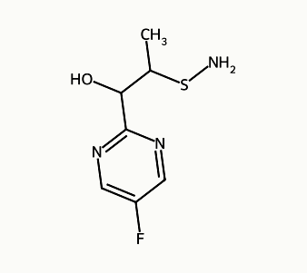 CC(SN)C(O)c1ncc(F)cn1